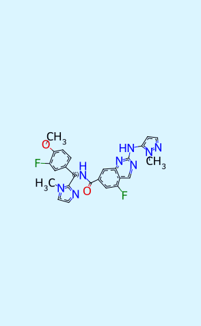 COc1ccc([C@H](NC(=O)c2cc(F)c3cnc(Nc4ccnn4C)nc3c2)c2nccn2C)cc1F